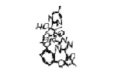 COc1cccc(OC)c1-n1c(NS(=O)(=O)[C@H](C)C(C)(O)c2ncc(C)cn2)nnc1-c1ccc(C)o1